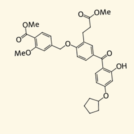 COC(=O)CCc1cc(C(=O)c2ccc(OC3CCCC3)cc2O)ccc1OCc1ccc(C(=O)OC)c(OC)c1